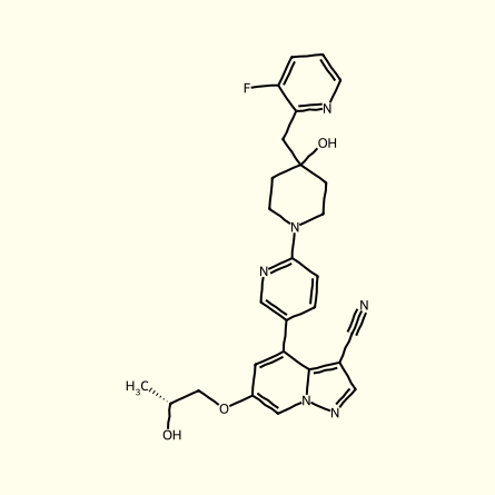 C[C@@H](O)COc1cc(-c2ccc(N3CCC(O)(Cc4ncccc4F)CC3)nc2)c2c(C#N)cnn2c1